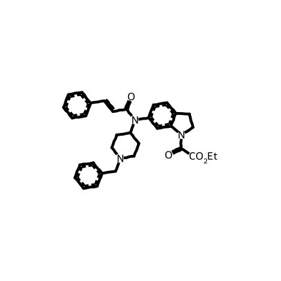 CCOC(=O)C(=O)N1CCc2ccc(N(C(=O)C=Cc3ccccc3)C3CCN(Cc4ccccc4)CC3)cc21